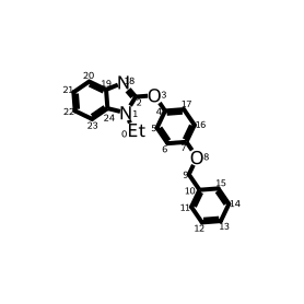 CCn1c(Oc2ccc(OCc3ccccc3)cc2)nc2ccccc21